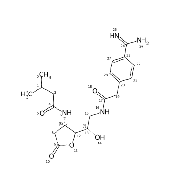 CC(C)CC(=O)N[C@H]1CC(=O)OC1[C@@H](O)CNC(=O)Cc1ccc(C(=N)N)cc1